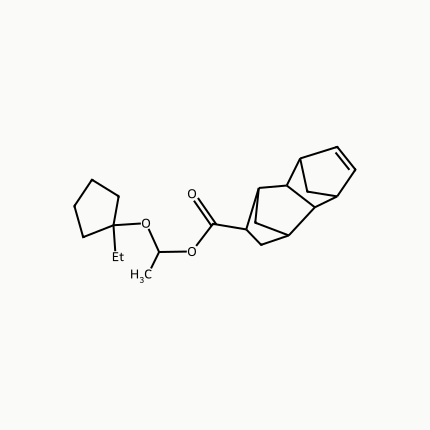 CCC1(OC(C)OC(=O)C2CC3CC2C2C4C=CC(C4)C32)CCCC1